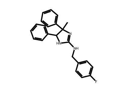 CC1(c2ccccc2)N=C(NCc2ccc(F)cc2)NC1c1ccccc1